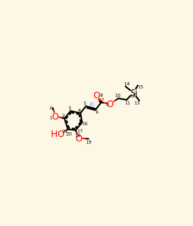 COc1cc(/C=C/C(=O)OCC[Si](C)(C)C)cc(OC)c1O